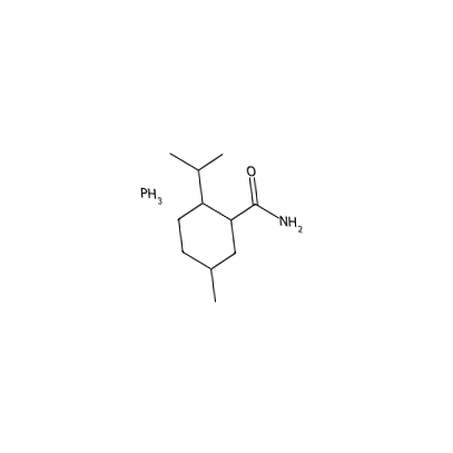 CC1CCC(C(C)C)C(C(N)=O)C1.P